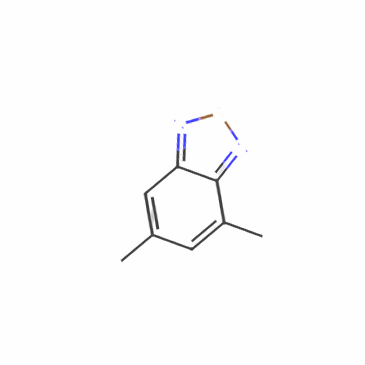 Cc1[c]c2nsnc2c(C)c1